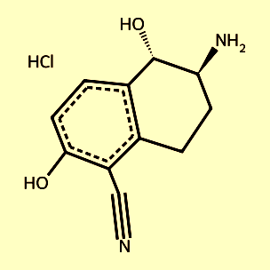 Cl.N#Cc1c(O)ccc2c1CC[C@H](N)[C@H]2O